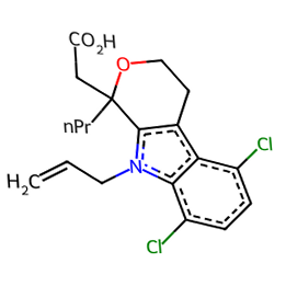 C=CCn1c2c(c3c(Cl)ccc(Cl)c31)CCOC2(CCC)CC(=O)O